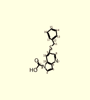 O=C(O)n1ccc2ncc(SCc3ccccc3)cc21